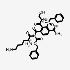 N=C(N)c1ccc(C(=O)N(C(=O)OCc2ccccc2)C(=O)[C@@H](N)CCCCN)c(C(=O)[C@H](N)CO)c1S(=O)(=O)Cc1ccccc1